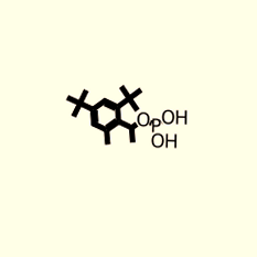 Cc1cc(C(C)(C)C)cc(C(C)(C)C)c1C(C)OP(O)O